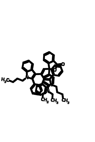 CCCCn1c(-c2ccccc2)c(C(=CC2(c3ccc(N(CC)CC)cc3)OC(=O)c3ccccc32)c2c(-c3ccccc3)n(CCCC)c3ccccc23)c2ccccc21